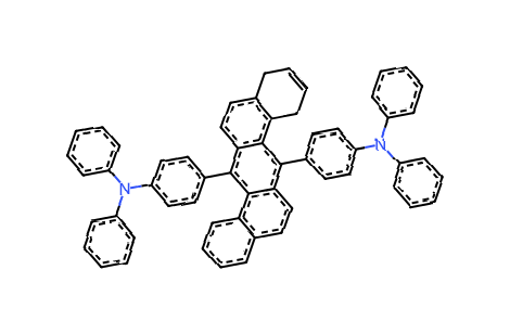 C1=CCc2c(ccc3c(-c4ccc(N(c5ccccc5)c5ccccc5)cc4)c4c(ccc5ccccc54)c(-c4ccc(N(c5ccccc5)c5ccccc5)cc4)c23)C1